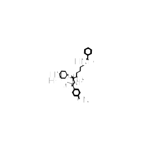 N#Cc1ccc(C(=O)NC(OC2CCNCC2)(C(=O)O)C(=O)CCCCNC(=O)c2ccccc2)cc1